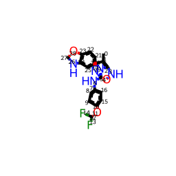 CC1=C2NOC(Nc3ccc(OC(F)F)cc3)(N=C1)N2c1ccc2c(c1)NCO2